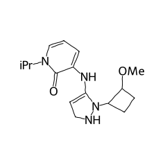 COC1CCC1N1NCC=C1Nc1cccn(C(C)C)c1=O